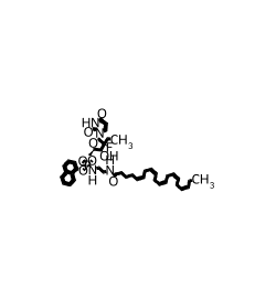 CC/C=C\C/C=C\C/C=C\C/C=C\C/C=C\CCCC(=O)NCCNP(=O)(OC[C@H]1O[C@@H](n2ccc(=O)[nH]c2=O)[C@@](F)(CC)[C@@H]1O)Oc1cccc2ccccc12